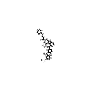 Cc1ccc(Oc2ccc(Nc3ncnc4sc5c(c34)[C@@H](C)CN(C(=O)C=CCN3CCOCC3)C5)cc2C)cn1